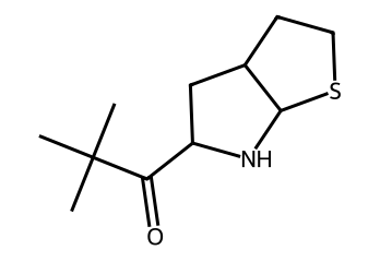 CC(C)(C)C(=O)C1CC2CCSC2N1